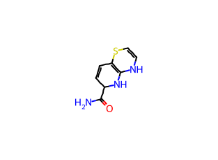 NC(=O)C1C=CC2=C(NC=CS2)N1